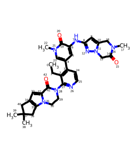 CCc1c(-c2cc(Nc3cc4n(n3)CC(=O)N(C)C4)c(=O)n(C)c2)ccnc1N1CCn2c(cc3c2CC(C)(C)C3)C1=O